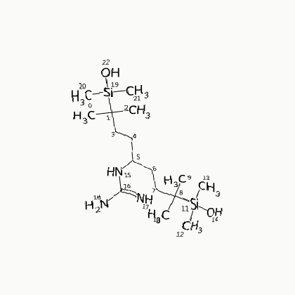 CC(C)(CCC(CCC(C)(C)[Si](C)(C)O)NC(=N)N)[Si](C)(C)O